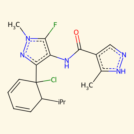 Cc1[nH]ncc1C(=O)Nc1c(C2(Cl)C=CC=CC2C(C)C)nn(C)c1F